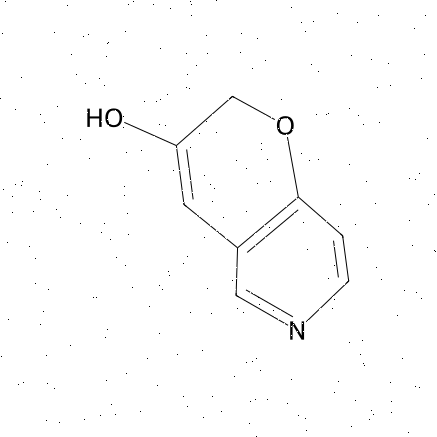 OC1=Cc2cnccc2OC1